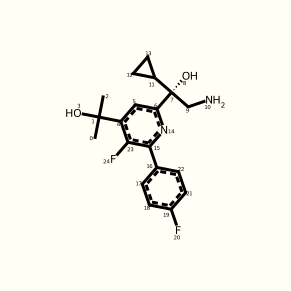 CC(C)(O)c1cc([C@](O)(CN)C2CC2)nc(-c2ccc(F)cc2)c1F